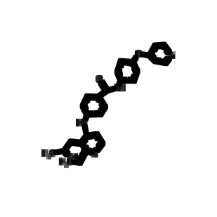 C=C(C)/C=c1/c(Nc2ccc(C(=O)Nc3ccc(Oc4ccncc4)cc3)cc2)ccn/c1=C/C